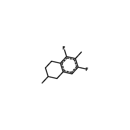 Cc1c(F)cc2c(c1F)CCC(C)C2